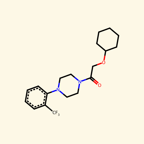 O=C(COC1CCCCC1)N1CCN(c2ccccc2C(F)(F)F)CC1